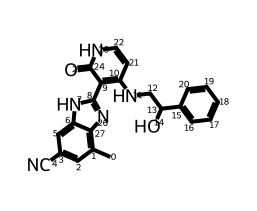 Cc1cc(C#N)cc2[nH]c(-c3c(NCC(O)c4ccccc4)cc[nH]c3=O)nc12